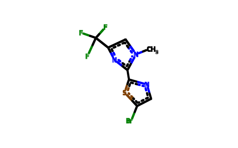 Cn1cc(C(F)(F)F)nc1-c1ncc(Br)s1